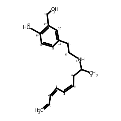 C=C/C=C\C=C/CC(C)NCCc1ccc(O)c(CO)c1